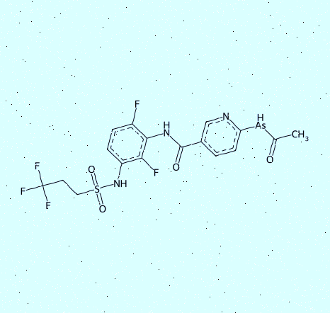 CC(=O)[AsH]c1ccc(C(=O)Nc2c(F)ccc(NS(=O)(=O)CCC(F)(F)F)c2F)cn1